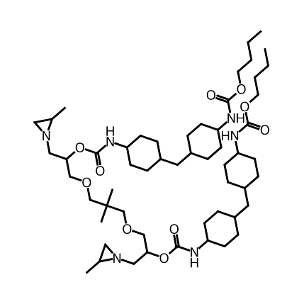 CCCCOC(=O)NC1CCC(CC2CCC(NC(=O)OC(COCC(C)(C)COCC(CN3CC3C)OC(=O)NC3CCC(CC4CCC(NC(=O)OCCCC)CC4)CC3)CN3CC3C)CC2)CC1